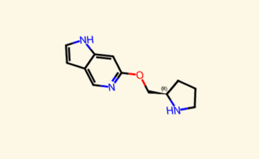 c1cc2cnc(OC[C@H]3CCCN3)cc2[nH]1